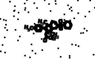 Cc1ccc(-c2c(C)c3c(c(C)c2CC(=O)O)CN(S(=O)(=O)C2CCCCC2)CC3)cc1